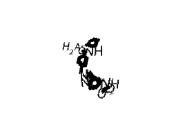 COC(=O)Nc1ccc2nn(Cc3ccc(C(=O)Nc4ccccc4[AsH2])cc3)cc2c1